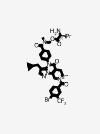 CC(C)[C@H](N)C(=O)OCN(C)C(=O)c1ccc(-n2c(=O)c3c(n4ncc(CC5CC5)c24)CN(C(=O)c2ccc(Br)c(C(F)(F)F)c2)[C@@H](C)C3)cc1